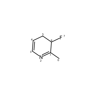 CC1=NC=CCC1F